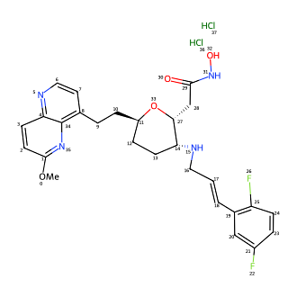 COc1ccc2nccc(CC[C@@H]3CC[C@@H](NCC=Cc4cc(F)ccc4F)[C@@H](CC(=O)NO)O3)c2n1.Cl.Cl